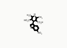 CC1=C(C(=O)O)C(c2csc3cc([N+](=O)[O-])ccc23)C(C(=O)O)=C(C)N1